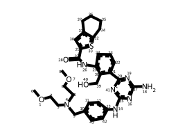 COCCN(CCOC)Cc1ccc(Nc2nc(N)nc(-c3cccc(NC(=O)c4cc5c(s4)CCCC5)c3CO)n2)cc1